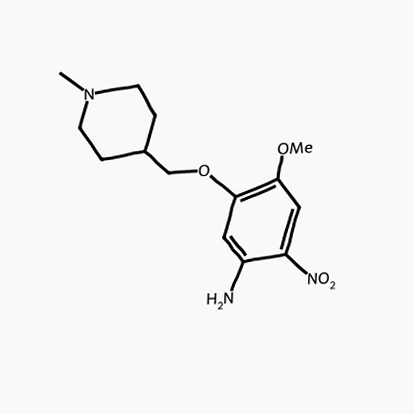 COc1cc([N+](=O)[O-])c(N)cc1OCC1CCN(C)CC1